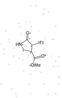 CCC1C(=O)NCC1C(=O)OC